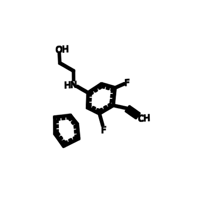 C#Cc1c(F)cc(NCCO)cc1F.c1ccccc1